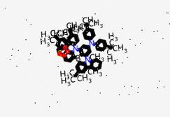 CC(C)(C)c1ccc(N(c2ccc(C(C)(C)C)cc2)c2cc3c4c(c2)N2c5c(cc(C(C)(C)C)cc5C5(C)CCCCC25C)B4c2ccc4sc5cc(C(C)(C)C)ccc5c4c2N3c2ccc(C(C)(C)C)cc2-c2ccccc2)cc1